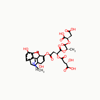 C[C@H](OC(=O)[C@H](CC(=O)OC1=CC[C@@]2(O)[C@H]3Cc4ccc(O)c5c4[C@@]2(CCN3C)[C@H]1O5)OC(=O)C[C@H](O)C(=O)O)C(=O)O[C@H](CC(=O)O)C(=O)O